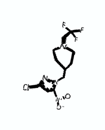 O=[N+]([O-])c1cc(Cl)nn1CC1CCN(CC(F)(F)F)CC1